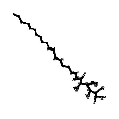 CCCCCCCCCCCCCCCCC=CNC(=O)C(O)C(O)C(O)C(O)C(=O)O